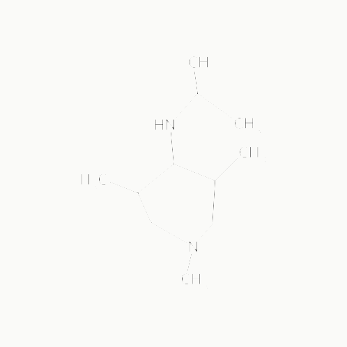 CC(C)NC1C(C)CN(C)CC1C